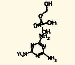 Nc1nc(N)nc(N)n1.O=P(O)(O)OCO